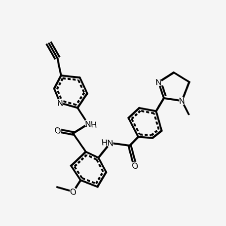 C#Cc1ccc(NC(=O)c2cc(OC)ccc2NC(=O)c2ccc(C3=NCCN3C)cc2)nc1